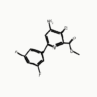 COC(=O)c1nc(-c2cc(F)cc(F)c2)cc(N)c1Cl